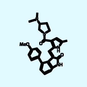 COc1ccc(-c2cccc3c2C(=Cc2[nH]c(C)cc2C(=O)N2CCC(N(C)C)C2)C(=O)N3)cc1